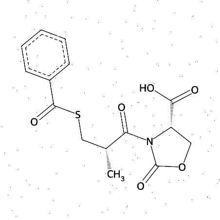 C[C@H](CSC(=O)c1ccccc1)C(=O)N1C(=O)OC[C@H]1C(=O)O